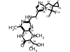 Cc1nc(NCc2cnn(CC3(C(F)(F)F)CC3)c2)nc2c1NC(=O)[C@H]([C@@H](C)O)N2C